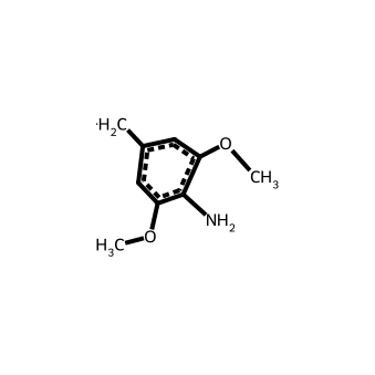 [CH2]c1cc(OC)c(N)c(OC)c1